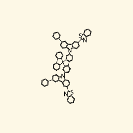 c1ccc(-c2ccc3c(c2)c2cc(-c4nc5ccccc5s4)ccc2n3-c2ccc3c(c2)C2(c4ccccc4-c4ccccc42)c2cc(-n4c5ccc(-c6ccccc6)cc5c5cc(-c6nc7ccccc7s6)ccc54)ccc2-3)cc1